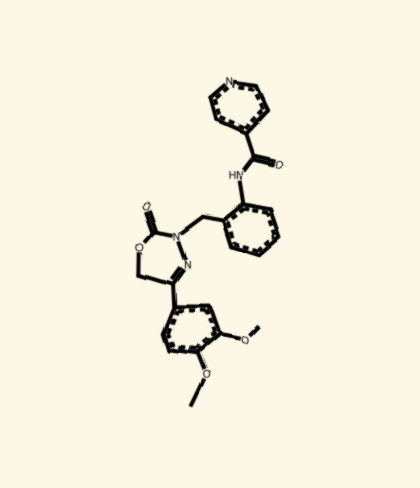 COc1ccc(C2=NN(Cc3ccccc3NC(=O)c3ccncc3)C(=O)OC2)cc1OC